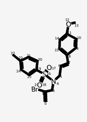 C=C(Br)CN(CC=Cc1ccc(OC)cc1)S(=O)(=O)c1ccc(C)cc1